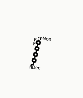 CCCCCCCCCCCCc1ccc(-c2ccc(-c3ccc(-c4ccc(OCCCCCCCCC)c(F)c4F)cc3)cc2)cc1